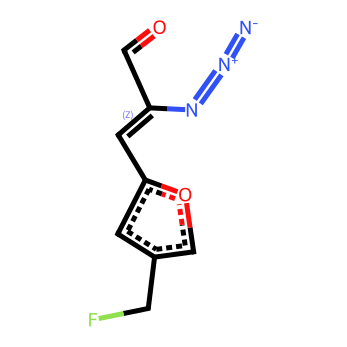 [N-]=[N+]=N/C(C=O)=C\c1cc(CF)co1